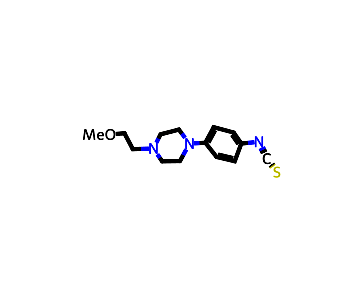 COCCN1CCN(c2ccc(N=C=S)cc2)CC1